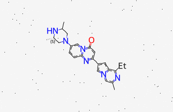 CCc1nc(C)cn2cc(-c3cc(=O)n4cc(N5CC(C)N[C@@H](C)C5)ccc4n3)cc12